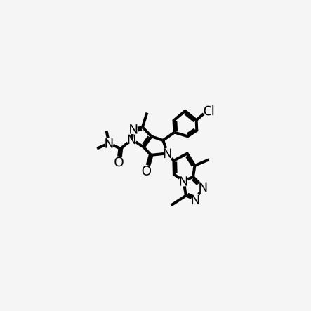 Cc1nn(C(=O)N(C)C)c2c1C(c1ccc(Cl)cc1)N(c1cc(C)c3nnc(C)n3c1)C2=O